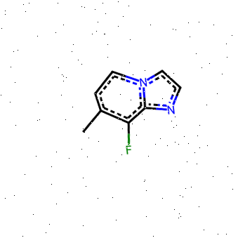 Cc1ccn2ccnc2c1F